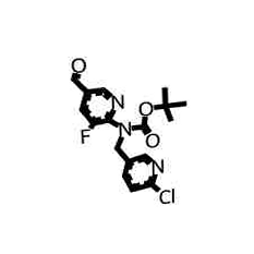 CC(C)(C)OC(=O)N(Cc1ccc(Cl)nc1)c1ncc(C=O)cc1F